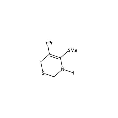 CCCC1=C(SC)N(I)CSC1